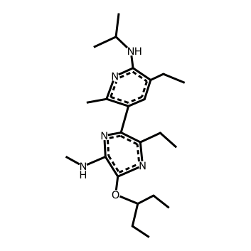 CCc1cc(-c2nc(NC)c(OC(CC)CC)nc2CC)c(C)nc1NC(C)C